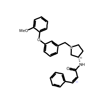 COc1ccccc1Oc1cccc(CN2CC[C@H](NC(=O)/C=C\c3ccccc3)C2)c1